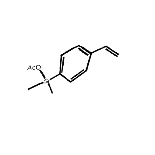 C=Cc1ccc([Si](C)(C)OC(C)=O)cc1